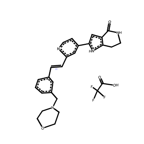 O=C(O)C(F)(F)F.O=C1NCCc2[nH]c(-c3ccnc(/C=C/c4cccc(CN5CCOCC5)c4)c3)cc21